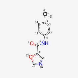 Cc1ccc(NC(=O)c2cnco2)cc1